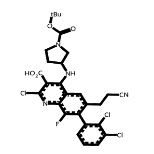 CC(C)(C)OC(=O)N1CCC(Nc2c(C(=O)O)c(Cl)nc3c(F)c(-c4cccc(Cl)c4Cl)c(CCC#N)cc23)C1